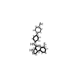 CC(=O)N1CCN(c2ccc(Nc3nc4c(F)cccc4c4cn[nH]c34)cc2)CC1